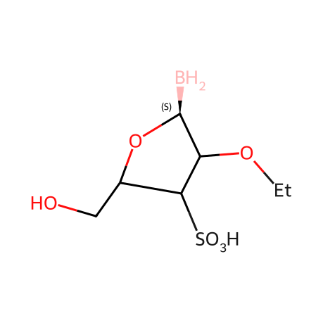 B[C@@H]1OC(CO)C(S(=O)(=O)O)C1OCC